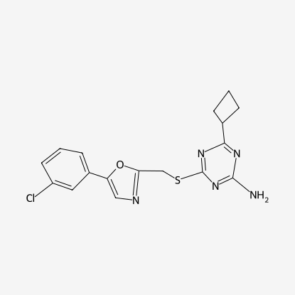 Nc1nc(SCc2ncc(-c3cccc(Cl)c3)o2)nc(C2CCC2)n1